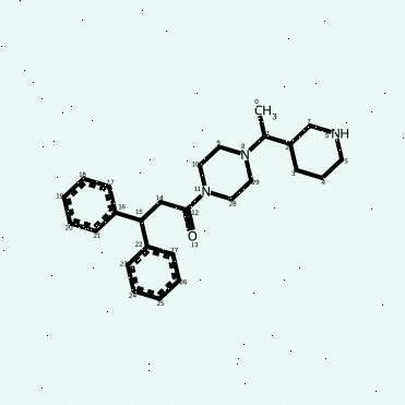 CC(C1CCCNC1)N1CCN(C(=O)CC(c2ccccc2)c2ccccc2)CC1